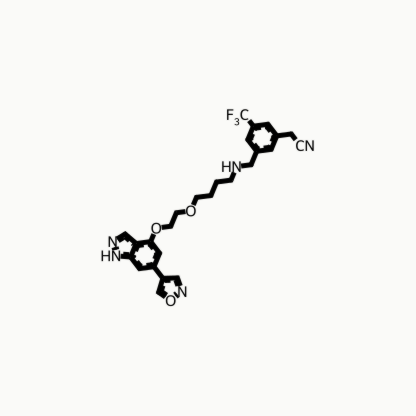 N#CCc1cc(CNCCCCOCCOc2cc(-c3cnoc3)cc3[nH]ncc23)cc(C(F)(F)F)c1